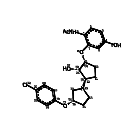 CC(=O)Nc1ccc(O)cc1O[C@@H]1CC[C@@H](N2CC[C@H](Oc3ccc(Cl)cc3)C2)[C@@H]1O